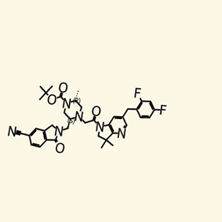 C[C@@H]1CN(CC(=O)N2CC(C)(C)c3ncc(Cc4ccc(F)cc4F)cc32)[C@@H](CN2Cc3cc(C#N)ccc3C2=O)CN1C(=O)OC(C)(C)C